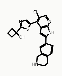 OC1(c2ncc(-c3c(Cl)cnc4[nH]c(-c5ccc6c(c5)CNCC6)cc34)s2)CCC1